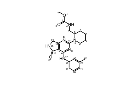 COC(=O)NCC1CCCCN1c1nc2c(c(Nc3cccc(C)c3)n1)C(=O)NC2